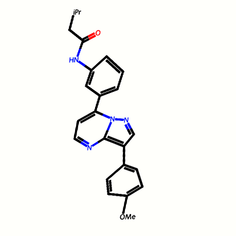 COc1ccc(-c2cnn3c(-c4cccc(NC(=O)CC(C)C)c4)ccnc23)cc1